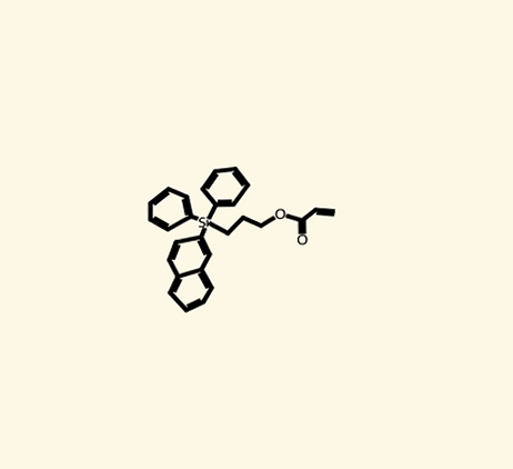 C=CC(=O)OCCC[Si](c1ccccc1)(c1ccccc1)c1ccc2ccccc2c1